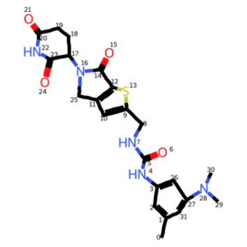 Cc1cc(NC(=O)NCc2cc3c(s2)C(=O)N(C2CCC(=O)NC2=O)C3)cc(N(C)C)c1